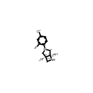 Fc1cc(Cl)ccc1N1C[C@@H]2CN[C@@H]2C1